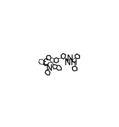 N=C(/N=C(\C=C\c1ccccc1)c1ccccc1)c1cccc(-c2ccc3c(c2)-c2ccccc2C32c3cc4c(cc3N(c3ccccc3)c3cc5ccccc5cc32)C=CCC4)c1